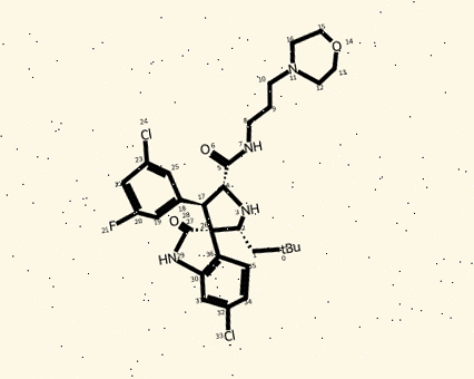 CC(C)(C)C[C@H]1N[C@@H](C(=O)NCCCN2CCOCC2)[C@H](c2cc(F)cc(Cl)c2)[C@@]12C(=O)Nc1cc(Cl)ccc12